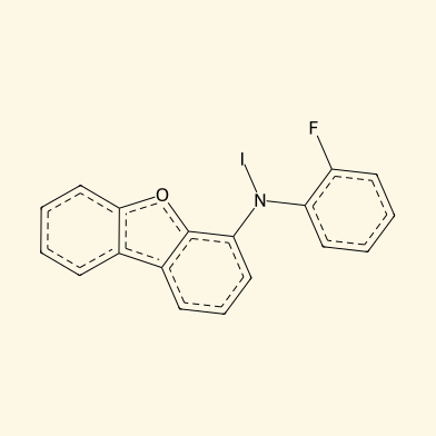 Fc1ccccc1N(I)c1cccc2c1oc1ccccc12